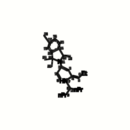 C=C/C(=C\C(=C/CC)NC(CCC)CCC)N1C(=C)c2ccc(C)cc2C1(C)C